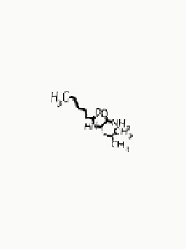 CCCCCC(=O)N[C@@H](CC(C)C)C(N)=O